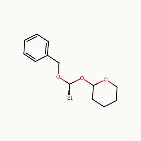 CC[C@@H](OCc1ccccc1)OC1CCCCO1